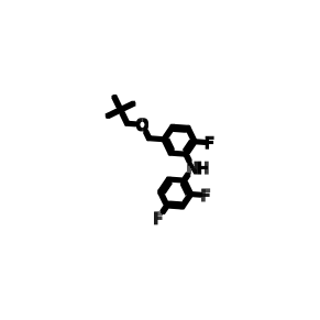 CC(C)(C)COCc1ccc(F)c(Nc2ccc(F)cc2F)c1